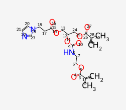 C=C(C)C(=O)OCCNC(=O)OC(COC(=O)CCn1ccnc1)COC(=O)C(=C)C